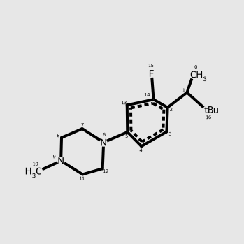 CC(c1ccc(N2CCN(C)CC2)cc1F)C(C)(C)C